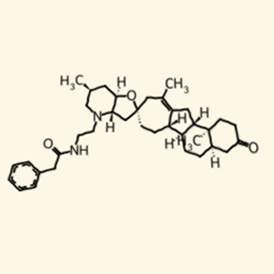 CC1=C2C[C@H]3[C@@H](CC[C@@H]4CC(=O)CC[C@@]43C)[C@@H]2CC[C@]2(C1)C[C@H]1[C@@H](C[C@H](C)CN1CCNC(=O)Cc1ccccc1)O2